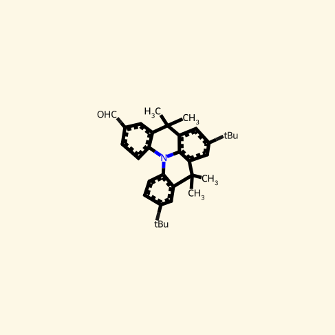 CC(C)(C)c1ccc2c(c1)C(C)(C)c1cc(C(C)(C)C)cc3c1N2c1ccc(C=O)cc1C3(C)C